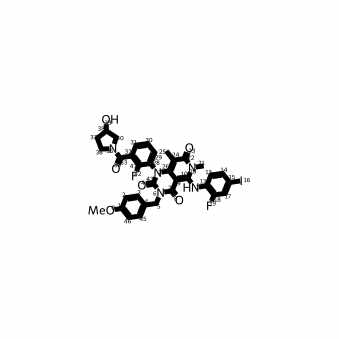 COc1ccc(Cn2c(=O)c3c(Nc4ccc(I)cc4F)n(C)c(=O)c(C)c3n(-c3cccc(C(=O)N4CCC(O)C4)c3F)c2=O)cc1